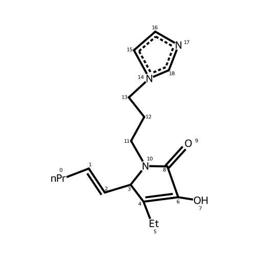 CCC/C=C/C1C(CC)=C(O)C(=O)N1CCCn1ccnc1